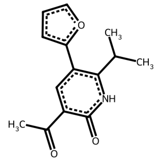 CC(=O)c1cc(-c2ccco2)c(C(C)C)[nH]c1=O